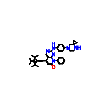 CC(C)[Si](C#Cc1cc(=O)n(-c2ccccc2)c2nc(Nc3ccc(N4CCNC5(CC5)C4)cc3)ncc12)(C(C)C)C(C)C